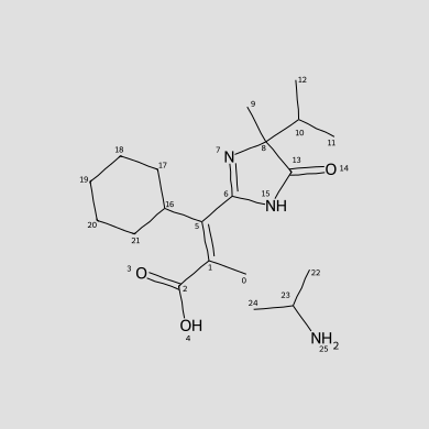 CC(C(=O)O)=C(C1=NC(C)(C(C)C)C(=O)N1)C1CCCCC1.CC(C)N